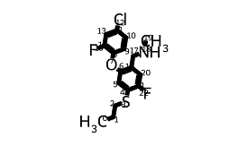 CCCSc1cc(Oc2ccc(Cl)cc2F)c(CNC)cc1F